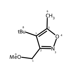 COCc1noc(C)c1C(C)(C)C